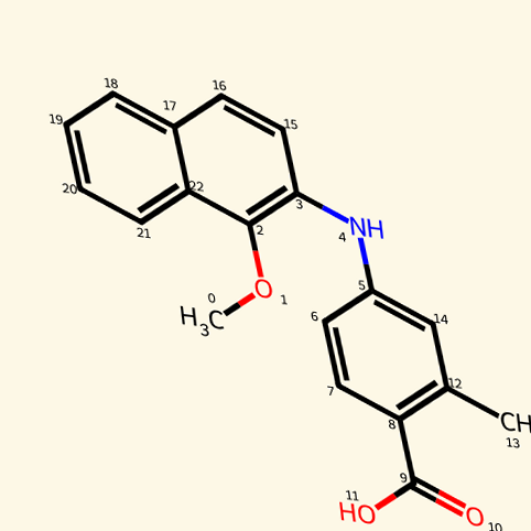 COc1c(Nc2ccc(C(=O)O)c(C)c2)ccc2ccccc12